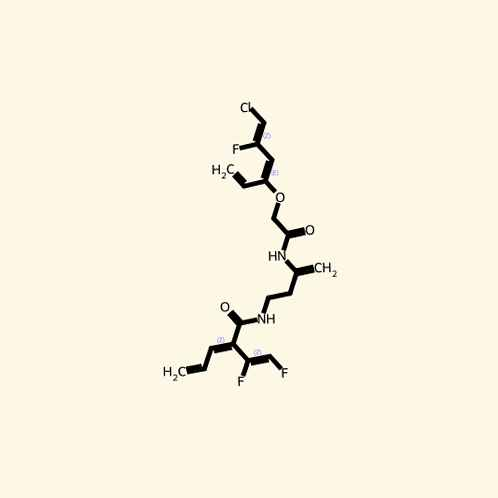 C=C/C=C(C(=O)NCCC(=C)NC(=O)CO/C(C=C)=C/C(F)=C/Cl)\C(F)=C\F